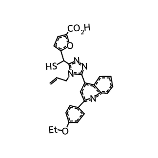 C=CCn1c(-c2cc(-c3ccc(OCC)cc3)nc3ccccc23)nnc1C(S)c1ccc(C(=O)O)o1